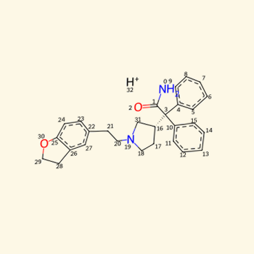 NC(=O)C(c1ccccc1)(c1ccccc1)[C@@H]1CCN(CCc2ccc3c(c2)CCO3)C1.[H+]